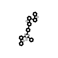 c1ccc(C2=NC(c3ccc(-c4ccc5c(c4)oc4cccc(-c6cccc7oc8ccccc8c67)c45)cc3)=NC(c3cccc4c3oc3ccccc34)N2)cc1